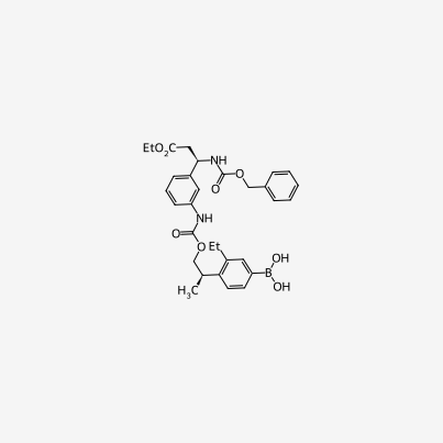 CCOC(=O)C[C@@H](NC(=O)OCc1ccccc1)c1cccc(NC(=O)OC[C@H](C)c2ccc(B(O)O)cc2CC)c1